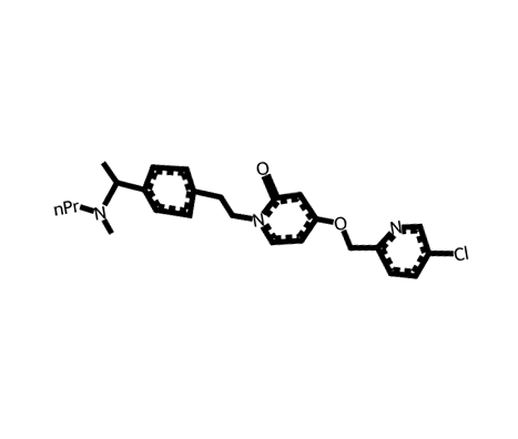 CCCN(C)C(C)c1ccc(CCn2ccc(OCc3ccc(Cl)cn3)cc2=O)cc1